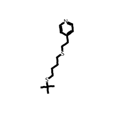 CC(C)(C)SCCCCSCCc1ccncc1